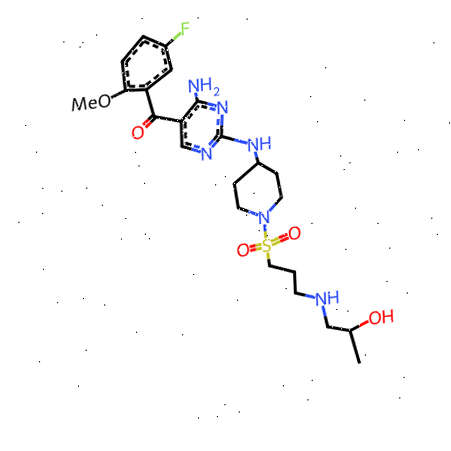 COc1ccc(F)cc1C(=O)c1cnc(NC2CCN(S(=O)(=O)CCCNCC(C)O)CC2)nc1N